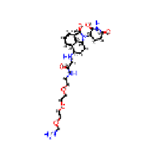 NCOCCOCCOCCNC(=O)CNC1CCC2c3c(cccc31)C(=O)N2C1CCC(=O)NC1=O